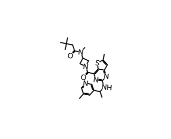 Cc1cncc(C(C)Nc2nc(C(=O)N3CC(N(C)C(=O)CC(C)(C)C)C3)c3sc(C)cc3n2)c1